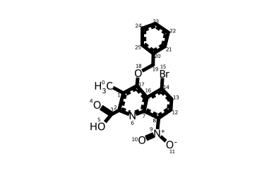 Cc1c(C(=O)O)nc2c([N+](=O)[O-])ccc(Br)c2c1OCc1ccccc1